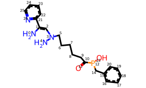 N/C(=C\N(N)CCCCCC(=O)P(O)Cc1ccccc1)c1ccccn1